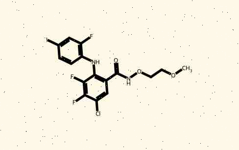 COCCONC(=O)c1cc(Cl)c(F)c(F)c1Nc1ccc(I)cc1F